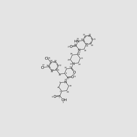 O=C(O)C1CCN(C(=O)C(CC(=O)N2CCC(N3Cc4ccccc4NC3=O)CC2)Cc2ccc(Cl)c(Cl)c2)CC1